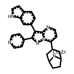 CCOC(=O)N1C2CCC1CC(c1ccnc3c(-c4ccc5cc[nH]c5c4)c(-c4ccncc4)nn13)C2